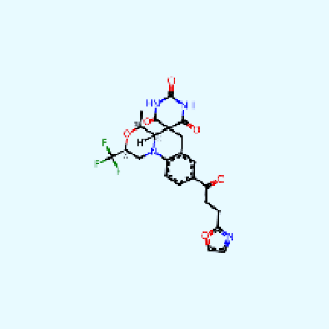 C[C@@H]1O[C@H](C(F)(F)F)CN2c3ccc(C(=O)CCc4ncco4)cc3CC3(C(=O)NC(=O)NC3=O)[C@@H]12